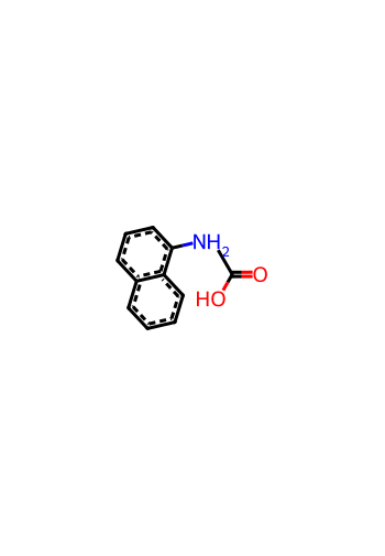 CC(=O)O.Nc1cccc2ccccc12